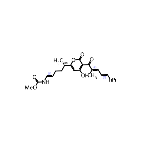 CCC/C=C/C=C(\C)C(=O)c1c(O)cc([C@H](C)CC/C=C/NC(=O)OC)oc1=O